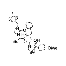 CC[C@H](C)[C@@H](C(=O)N[C@@H](Cc1ccccc1)[C@@H](O)CN(CC(C)C)S(=O)(=O)c1ccc(OC)cc1)N1CCN(Cc2csc(C)n2)C1=O